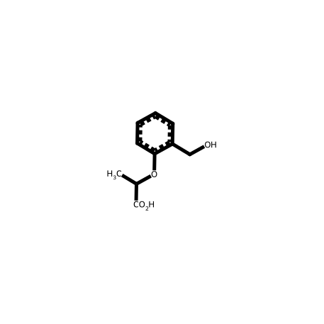 CC(Oc1ccccc1CO)C(=O)O